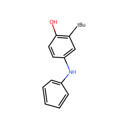 CC(C)(C)c1cc(Nc2ccccc2)ccc1O